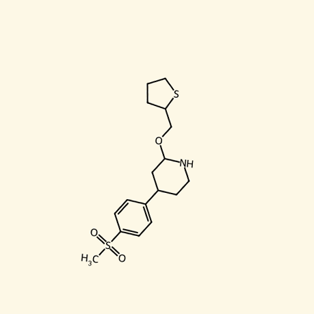 CS(=O)(=O)c1ccc(C2CCNC(OCC3CCCS3)C2)cc1